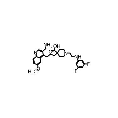 COc1ccc2ncc(CN)c(CCCC3(C(=O)O)CCN(CCNc4cc(F)cc(F)c4)CC3)c2c1